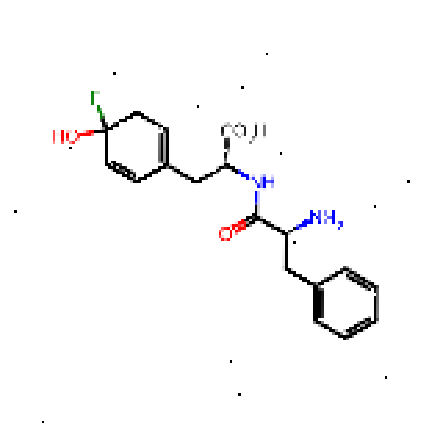 N[C@@H](Cc1ccccc1)C(=O)N[C@@H](CC1=CCC(O)(F)C=C1)C(=O)O